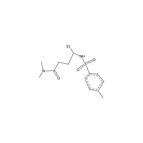 CCC(CCC(=O)N(C)C)NS(=O)(=O)c1ccc(C)cc1